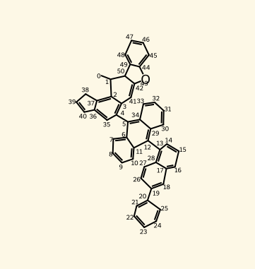 CC1c2c(c(-c3c4ccccc4c(-c4cccc5cc(-c6ccccc6)ccc45)c4ccccc34)cc3c2CC=C3)C=C2Oc3ccccc3C21